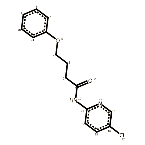 O=C(CCCOc1ccccc1)Nc1ccc(Cl)cn1